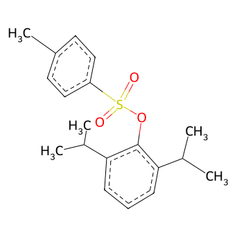 Cc1ccc(S(=O)(=O)Oc2c(C(C)C)cccc2C(C)C)cc1